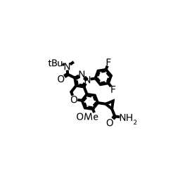 COc1cc2c(cc1C1CC1C(N)=O)-c1c(c(C(=O)N(C)C(C)(C)C)nn1-c1cc(F)cc(F)c1)CO2